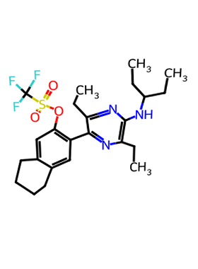 CCc1nc(-c2cc3c(cc2OS(=O)(=O)C(F)(F)F)CCCC3)c(CC)nc1NC(CC)CC